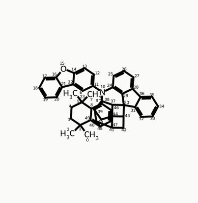 CC1(C)CCC(C)(C)c2c(N(c3ccc4oc5ccccc5c4c3)c3cccc4c3C3(c5ccccc5-4)C4CC5CC6CC3C64C5)cccc21